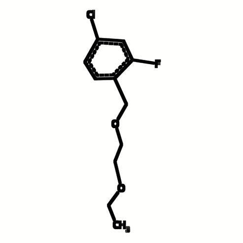 CCOCCOCc1ccc(Cl)cc1F